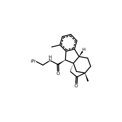 Cc1cccc2c1[C@H](C(=O)NCC(C)C)[C@@]13CC(=O)[C@@](C)(CC[C@@H]21)C3